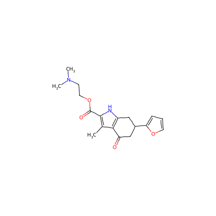 Cc1c(C(=O)OCCN(C)C)[nH]c2c1C(=O)CC(c1ccco1)C2